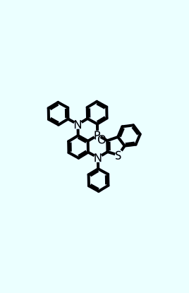 O=P12c3ccccc3N(c3ccccc3)c3cccc(c31)N(c1ccccc1)c1sc3ccccc3c12